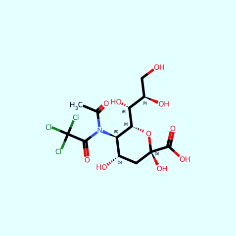 CC(=O)N(C(=O)C(Cl)(Cl)Cl)[C@H]1[C@H]([C@H](O)[C@H](O)CO)O[C@](O)(C(=O)O)C[C@@H]1O